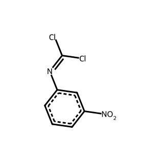 O=[N+]([O-])c1cccc(N=C(Cl)Cl)c1